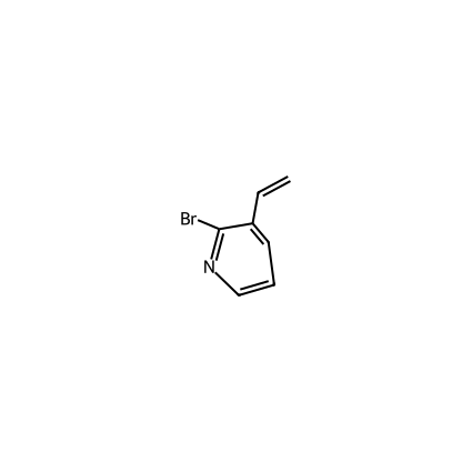 C=Cc1cccnc1Br